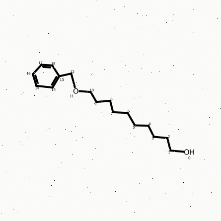 OCCCCCCCCCCOCc1ccccc1